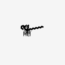 CCCCCCCCCCCC1([N+](=O)[O-])CN(C)CC2CCCCN2C1.Cl.Cl